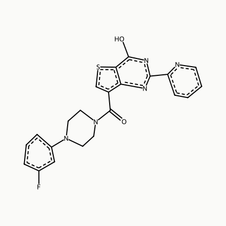 O=C(c1csc2c(O)nc(-c3ccccn3)nc12)N1CCN(c2cccc(F)c2)CC1